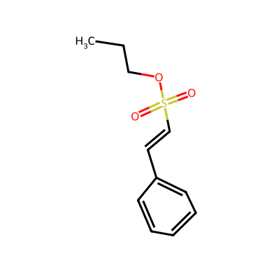 CCCOS(=O)(=O)C=Cc1ccccc1